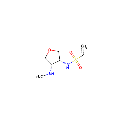 C=CS(=O)(=O)N[C@H]1COC[C@H]1NC